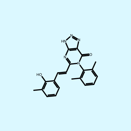 Cc1cccc(/C=C/c2nc3[nH]nnc3c(=O)n2-c2c(C)cccc2C)c1O